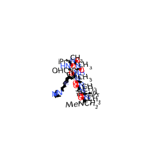 CN[C@H](C)C(=O)N(C)[C@@H](CC(C)C)C(=O)N(C)[C@@H](CC(C)C)C(=O)N(C)CC(=O)N(C)[C@@H](C[C@H](C)C/C=C/CCCn1ccnc1)C(=O)NCC(=O)N(C)CC(=O)N(C)[C@@H](CC(C)C)C(=O)NC(C=O)C(C)C